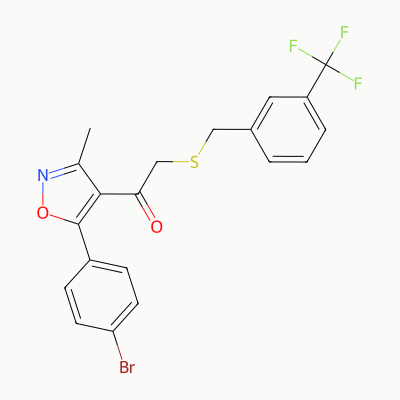 Cc1noc(-c2ccc(Br)cc2)c1C(=O)CSCc1cccc(C(F)(F)F)c1